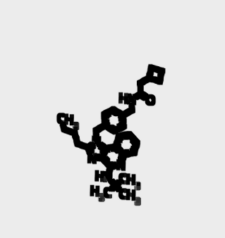 CCCCc1nc2c(NC(C)(C)C)nc3ccccc3c2n1Cc1ccc(CNC(=O)CC2CCC2)cc1